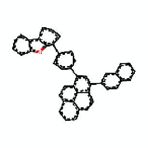 c1ccc2cc(-c3cc(-c4ccc(-c5cccc6c5oc5ccccc56)cc4)c4ccc5cccc6ccc3c4c56)ccc2c1